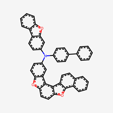 c1ccc(-c2ccc(N(c3ccc4c(c3)oc3ccccc34)c3ccc4oc5ccc6oc7c8ccccc8ccc7c6c5c4c3)cc2)cc1